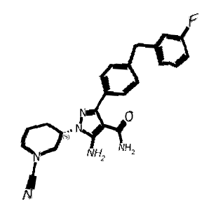 N#CN1CCC[C@H](n2nc(-c3ccc(Cc4cccc(F)c4)cc3)c(C(N)=O)c2N)C1